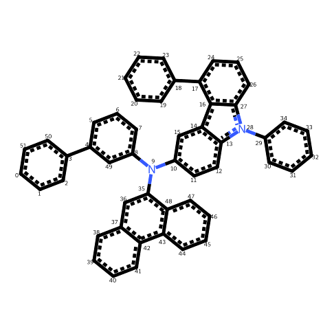 c1ccc(-c2cccc(N(c3ccc4c(c3)c3c(-c5ccccc5)cccc3n4-c3ccccc3)c3cc4ccccc4c4ccccc34)c2)cc1